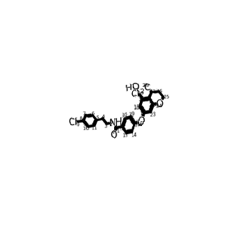 O=C(NCCc1ccc(Cl)cc1)c1ccc(Oc2cc(Cl)c3c(c2)OCCC3C(=O)O)cc1